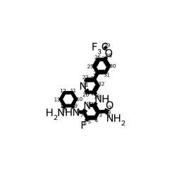 NC(=O)c1cc(F)c(NC2CCCCC2N)nc1Nc1cncc(-c2ccc(OC(F)(F)F)cc2)c1